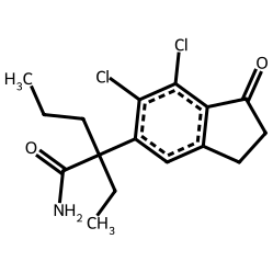 CCCC(CC)(C(N)=O)c1cc2c(c(Cl)c1Cl)C(=O)CC2